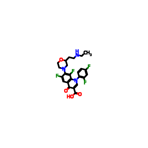 CCNCCC1CN(c2c(F)cc3c(=O)c(C(=O)O)cn(-c4ccc(F)cc4F)c3c2F)CCO1